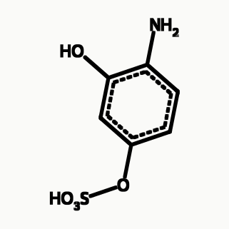 Nc1ccc(OS(=O)(=O)O)cc1O